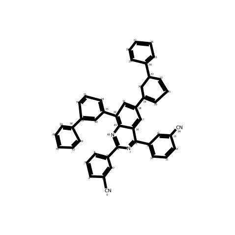 N#Cc1cccc(-c2nc(-c3cccc(C#N)c3)c3cc(C4=CC=CC(c5ccccc5)C4)cc(-c4cccc(-c5ccccc5)c4)c3n2)c1